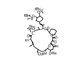 CCC1/C=C(\C)CC(C)CC(OC)C2OC(O)(C(=O)C(=O)N3CCCCC3C(=O)OC(C(C)=CC3CCC(O[Si](C)(C)C(C)(C)C)C(O[Si](C)(C)C(C)(C)C)C3)C(C)C(O[Si](C)(C)C(C)(C)C)CC1=O)C(C)CC2OC